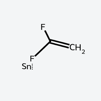 C=C(F)F.[Sn]